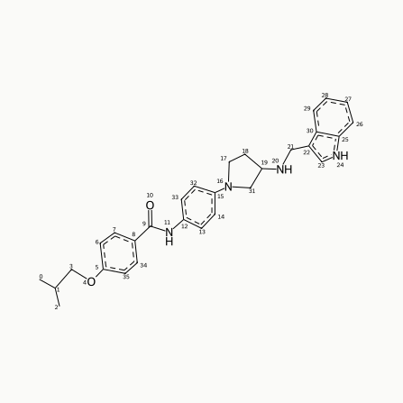 CC(C)COc1ccc(C(=O)Nc2ccc(N3CCC(NCc4c[nH]c5ccccc45)C3)cc2)cc1